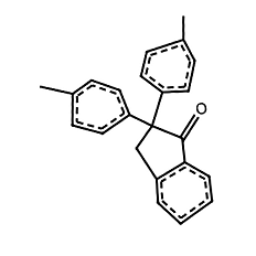 Cc1ccc(C2(c3ccc(C)cc3)Cc3ccccc3C2=O)cc1